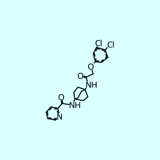 O=C(COc1ccc(Cl)c(Cl)c1)NC12CCC(NC(=O)c3ccccn3)(CC1)CC2